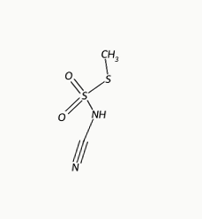 CSS(=O)(=O)NC#N